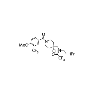 COc1ccc(C(=O)N2CCC(O)(CN(CCC(C)C)C(=O)C(F)(F)F)CC2)cc1C(F)(F)F